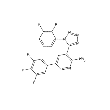 Nc1ncc(-c2cc(F)c(F)c(F)c2)cc1-c1nnnn1-c1cccc(F)c1F